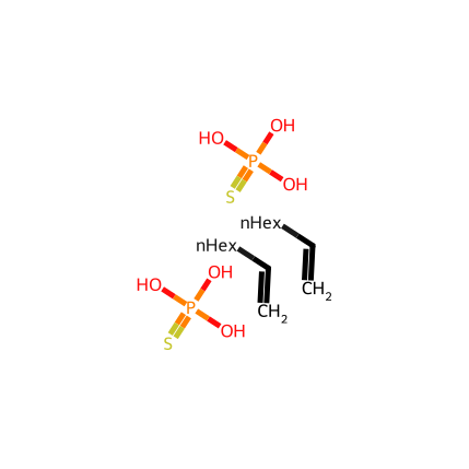 C=CCCCCCC.C=CCCCCCC.OP(O)(O)=S.OP(O)(O)=S